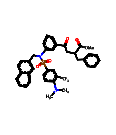 COC(=O)C(CC(=O)c1cccc(N(Cc2ccc3ccccc3c2)S(=O)(=O)c2ccc(N(C)C)c(C(F)(F)F)c2)c1)Cc1ccccc1